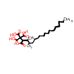 CCCCCCCCCCCCCCC(C)C(C)=C(C(=O)O)C(C(=O)O)(C(=O)O)C(=O)O